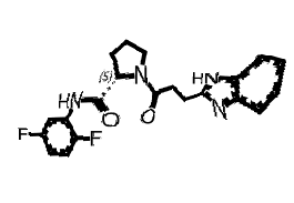 O=C(Nc1cc(F)ccc1F)[C@@H]1CCCN1C(=O)CCc1nc2ccccc2[nH]1